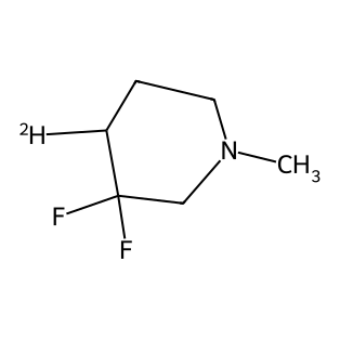 [2H]C1CCN(C)CC1(F)F